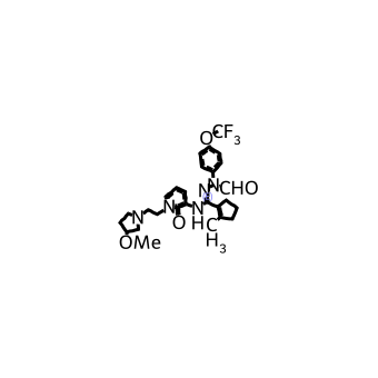 COC1CCN(CCn2cccc(N/C(=N/N(C=O)c3ccc(OC(F)(F)F)cc3)C3=C(C)CCC3)c2=O)C1